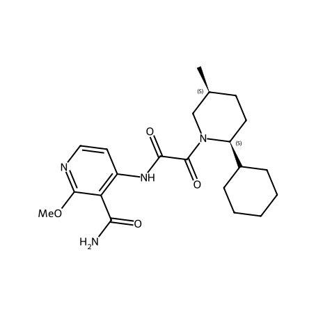 COc1nccc(NC(=O)C(=O)N2C[C@@H](C)CC[C@H]2C2CCCCC2)c1C(N)=O